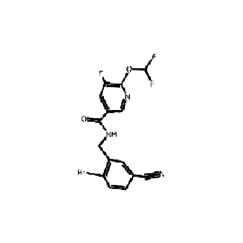 N#Cc1ccc(Br)c(CNC(=O)c2cnc(OC(F)F)c(F)c2)c1